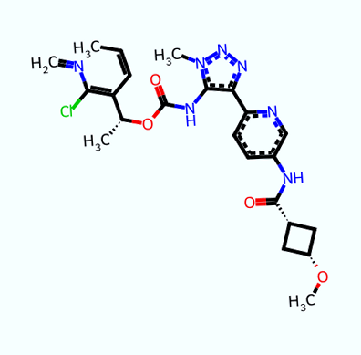 C=N/C(Cl)=C(\C=C/C)[C@@H](C)OC(=O)Nc1c(-c2ccc(NC(=O)[C@H]3C[C@@H](OC)C3)cn2)nnn1C